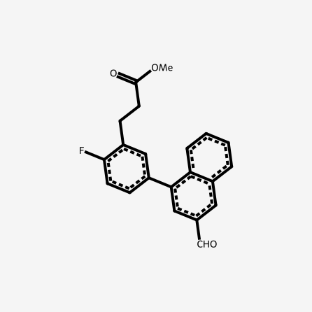 COC(=O)CCc1cc(-c2cc(C=O)cc3ccccc23)ccc1F